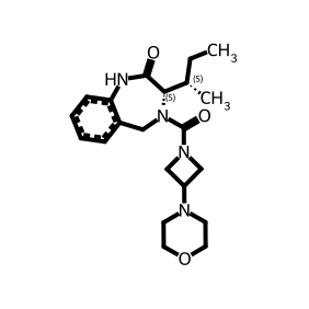 CC[C@H](C)[C@H]1C(=O)Nc2ccccc2CN1C(=O)N1CC(N2CCOCC2)C1